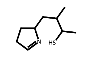 CC(S)C(C)CC1CCC=N1